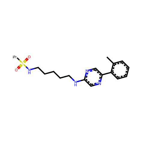 Cc1ccccc1-c1cnc(NCCCCCNS(=O)(=O)C(C)C)cn1